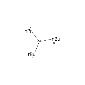 CCCC[C](CCC)C(C)(C)C